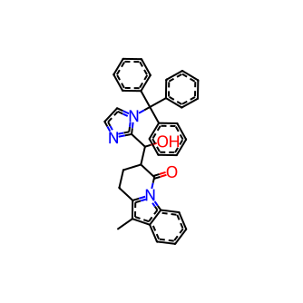 Cc1c2n(c3ccccc13)C(=O)C(C(O)c1nccn1C(c1ccccc1)(c1ccccc1)c1ccccc1)CC2